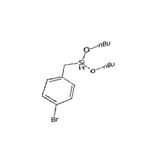 CCCCO[SiH](Cc1ccc(Br)cc1)OCCCC